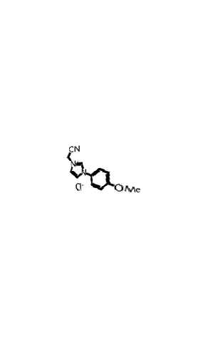 COc1ccc(-n2cc[n+](CC#N)c2)cc1.[Cl-]